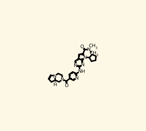 CN(C)C(=O)c1cc2cnc(Nc3ccc(C(=O)N4CCN5C=CC[C@@H]5C4)cn3)nc2n1C1CCCC1